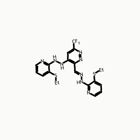 CCSc1cccnc1N/N=C/c1nnc(C(F)(F)F)cc1NNc1ncccc1SCC